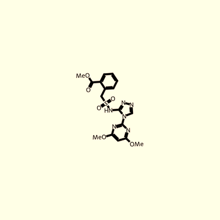 COC(=O)c1ccccc1CS(=O)(=O)Nc1nncn1-c1nc(OC)cc(OC)n1